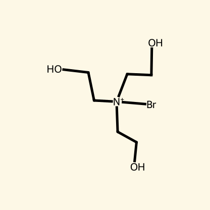 OCC[N+](Br)(CCO)CCO